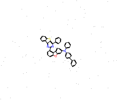 c1ccc(-c2ccc(N(c3ccccc3)c3ccc4c(c3)oc3cccc(-c5nc(-c6ccccc6)c6sc7ccccc7c6n5)c34)cc2)cc1